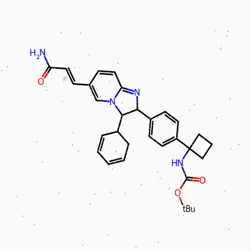 CC(C)(C)OC(=O)NC1(c2ccc(C3N=C4C=CC(/C=C/C(N)=O)=CN4C3C3C=CC=CC3)cc2)CCC1